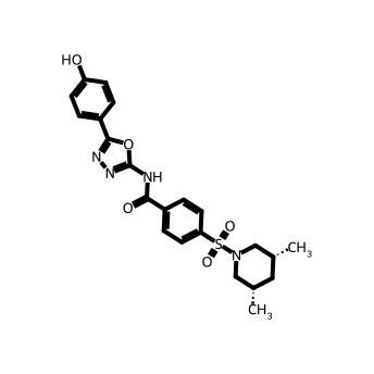 C[C@@H]1C[C@H](C)CN(S(=O)(=O)c2ccc(C(=O)Nc3nnc(-c4ccc(O)cc4)o3)cc2)C1